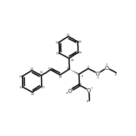 COOCC(C(=O)OC)[C@H](/C=C/c1ccccc1)c1ccccc1